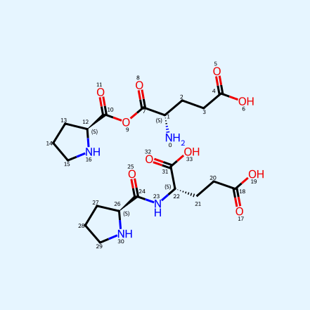 N[C@@H](CCC(=O)O)C(=O)OC(=O)[C@@H]1CCCN1.O=C(O)CC[C@H](NC(=O)[C@@H]1CCCN1)C(=O)O